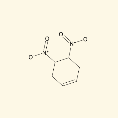 O=[N+]([O-])C1CC=CCC1[N+](=O)[O-]